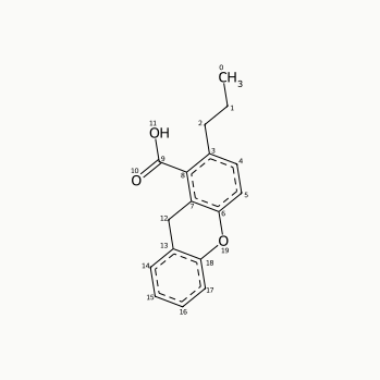 CCCc1ccc2c(c1C(=O)O)Cc1ccccc1O2